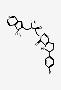 CN(Cc1cc2cnccc2n1C)C(=O)Cn1cnc2c(c1=O)NC(c1ccc(F)cc1)CC2